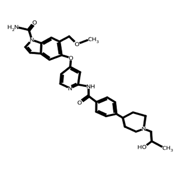 COCc1cc2c(ccn2C(N)=O)cc1Oc1ccnc(NC(=O)c2ccc(C3CCN(CC(C)O)CC3)cc2)c1